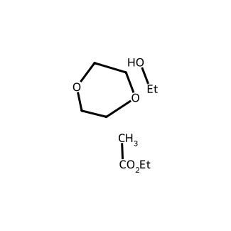 C1COCCO1.CCO.CCOC(C)=O